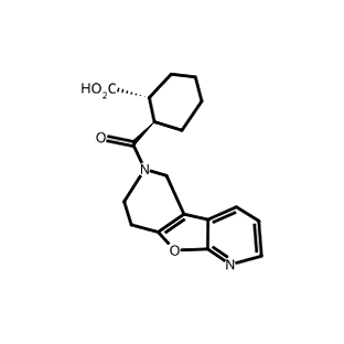 O=C(O)[C@@H]1CCCC[C@H]1C(=O)N1CCc2oc3ncccc3c2C1